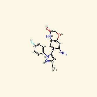 Nc1cc2c(cc1-c1cc(C(F)(F)F)nn1-c1ccc(F)cc1)NC(=O)CO2